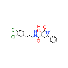 Cn1c(-c2ccccc2)cc(C(=O)NCCCc2ccc(Cl)c(Cl)c2)c(O)c1=O